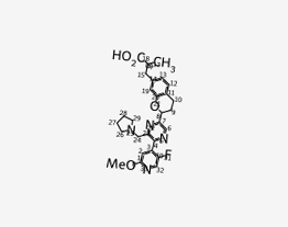 COc1cc(-c2ncc(C3CCc4ccc(C[C@H](C)C(=O)O)cc4O3)nc2CN2CCCC2)c(F)cn1